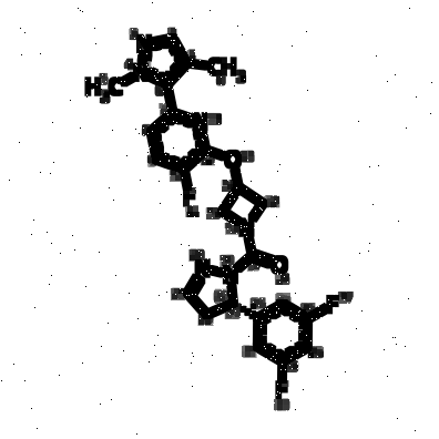 Cc1cnn(C)c1-c1ccc(F)c(OC2CN(C(=O)N3N=CC[C@H]3c3cc(F)cc(F)c3)C2)n1